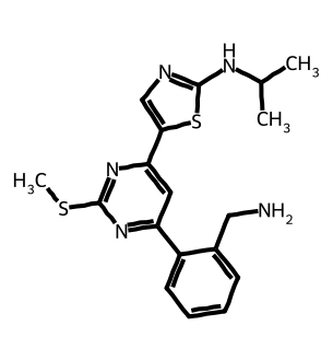 CSc1nc(-c2cnc(NC(C)C)s2)cc(-c2ccccc2CN)n1